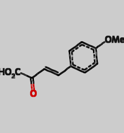 COc1ccc(C=CC(=O)C(=O)O)cc1